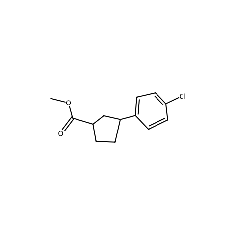 COC(=O)C1CCC(c2ccc(Cl)cc2)C1